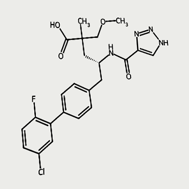 COCC(C)(C[C@@H](Cc1ccc(-c2cc(Cl)ccc2F)cc1)NC(=O)c1c[nH]nn1)C(=O)O